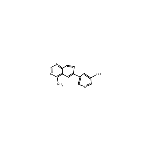 Nc1ncnc2ccc(-c3cncc(O)c3)cc12